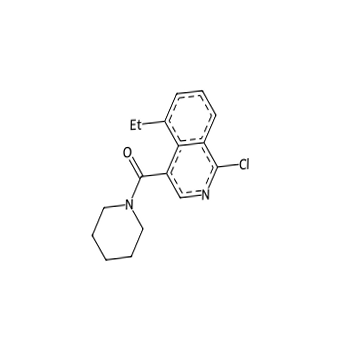 CCc1cccc2c(Cl)ncc(C(=O)N3CCCCC3)c12